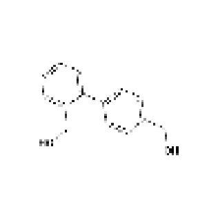 OCc1ccc(-c2ccccc2CO)cc1